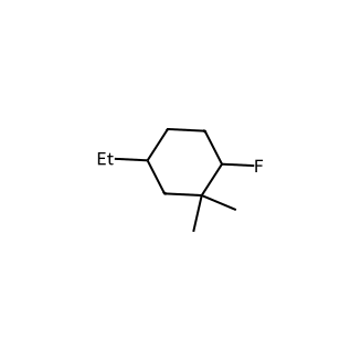 CCC1CCC(F)C(C)(C)C1